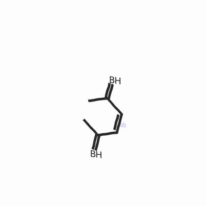 B=C(C)/C=C\C(=B)C